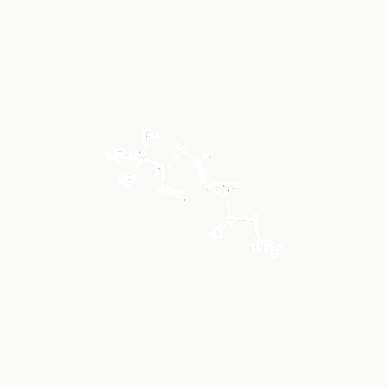 [CH2]CC(=O)Nc1ccc(C(F)(F)F)cc1